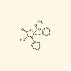 COC(=O)C1(Cc2ccccc2)OC(=O)C(O)=C1c1ccccc1